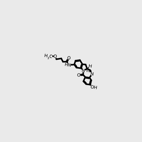 COCCCC(=O)Nc1ccc2c(c1)N1C(=O)c3ccc(O)cc3N=C[C@H]1C2